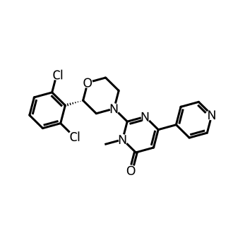 Cn1c(N2CCO[C@@H](c3c(Cl)cccc3Cl)C2)nc(-c2ccncc2)cc1=O